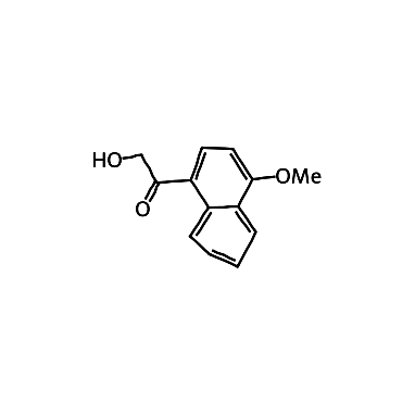 COc1ccc(C(=O)CO)c2ccccc12